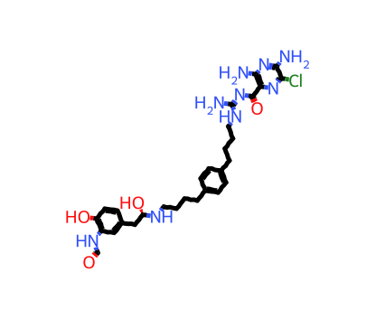 NC(=NC(=O)c1nc(Cl)c(N)nc1N)NCCCCc1ccc(CCCCN[C@H](O)Cc2ccc(O)c(NC=O)c2)cc1